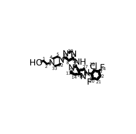 OCCN1CCN(c2cc(Nc3nccc4nn(-c5c(F)ccc(F)c5Cl)cc34)ncn2)CC1